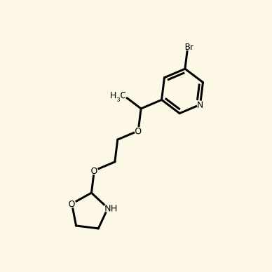 CC(OCCOC1NCCO1)c1cncc(Br)c1